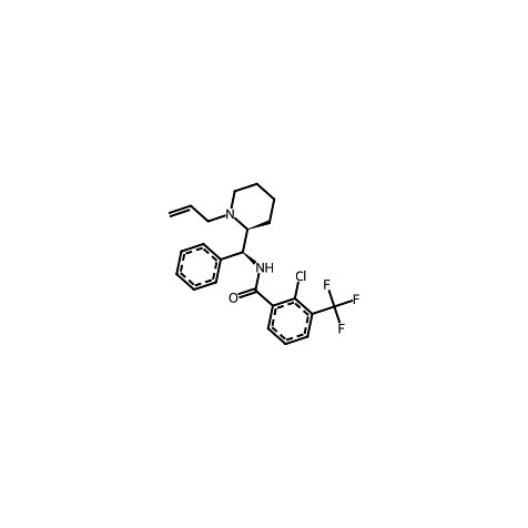 C=CCN1CCCC[C@H]1[C@@H](NC(=O)c1cccc(C(F)(F)F)c1Cl)c1ccccc1